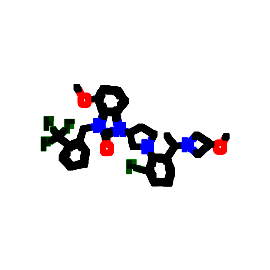 COc1cccc2c1n(Cc1ccccc1C(F)(F)F)c(=O)n2C1CCN(c2c(F)cccc2C(C)N2CC(OC)C2)C1